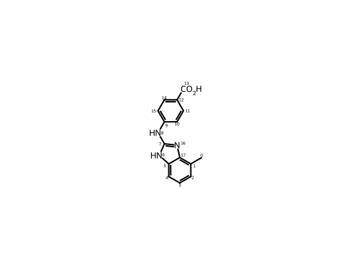 Cc1cccc2[nH]c(Nc3ccc(C(=O)O)cc3)nc12